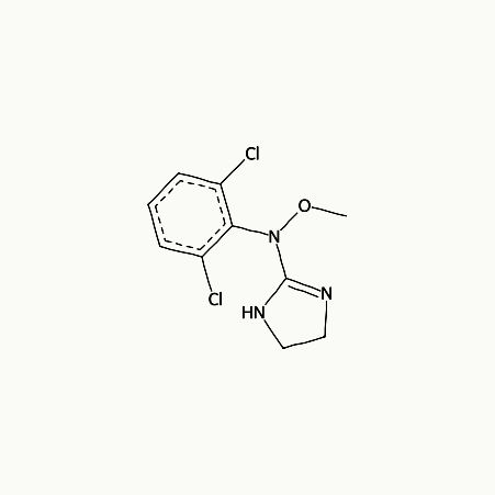 CON(C1=NCCN1)c1c(Cl)cccc1Cl